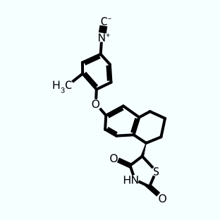 [C-]#[N+]c1ccc(Oc2ccc3c(c2)CCC[C@H]3C2SC(=O)NC2=O)c(C)c1